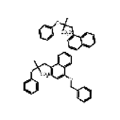 CCOC(=O)C(C)(Cc1ccc(OCc2ccccc2)c2ccccc12)Oc1ccccc1.CCOC(=O)C(C)(Cc1cccc2ccccc12)Oc1ccccc1